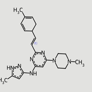 CC1=CCC(/C=C/c2nc(Nc3cc(C)[nH]n3)cc(N3CCN(C)CC3)n2)C=C1